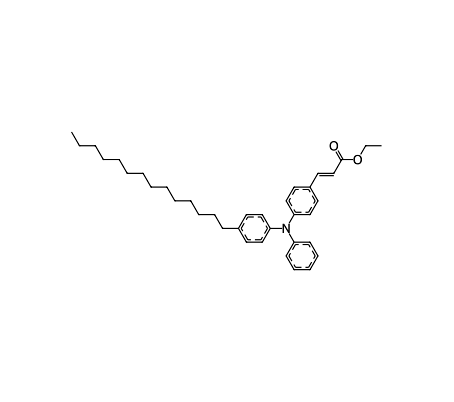 CCCCCCCCCCCCCCc1ccc(N(c2ccccc2)c2ccc(/C=C/C(=O)OCC)cc2)cc1